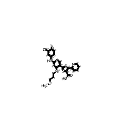 COCCCNc1nc(Nc2ccc(F)c(Cl)c2)ncc1-c1nc(-c2ccccn2)c(C(=O)O)s1